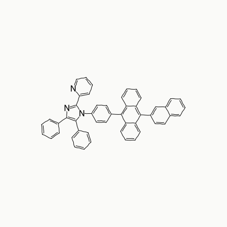 c1ccc(-c2nc(-c3ccccn3)n(-c3ccc(-c4c5ccccc5c(-c5ccc6ccccc6c5)c5ccccc45)cc3)c2-c2ccccc2)cc1